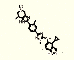 CCN1Cc2nc(-c3ccc(-c4nc(Nc5ccc6[nH]ncc6c5C5CC5)n(C)n4)cc3C)[nH]c2C(C)C1